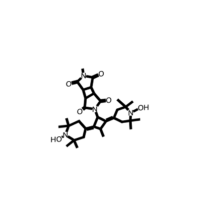 CC1C(=C2CC(C)(C)N(O)C(C)(C)C2)C(N2C(=O)C3C4C(=O)N(C)C(=O)C4C3C2=O)C1=C1CC(C)(C)N(O)C(C)(C)C1